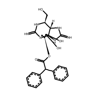 N=C1N[C@H]2[C@H](CO)NC(=N)N3C[C@H](OC(=O)C(c4ccccc4)c4ccccc4)C(O)(O)C23N1